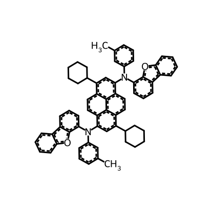 Cc1cccc(N(c2cc(C3CCCCC3)c3ccc4c(N(c5cccc(C)c5)c5cccc6c5oc5ccccc56)cc(C5CCCCC5)c5ccc2c3c54)c2cccc3c2oc2ccccc23)c1